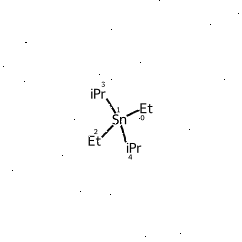 C[CH2][Sn]([CH2]C)([CH](C)C)[CH](C)C